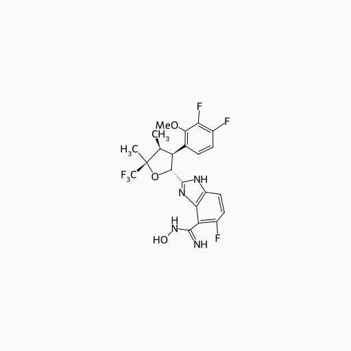 COc1c([C@H]2[C@H](c3nc4c(C(=N)NO)c(F)ccc4[nH]3)O[C@@](C)(C(F)(F)F)[C@H]2C)ccc(F)c1F